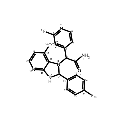 NC(=O)C(c1ccnc(F)c1)N1c2c(C(=O)O)ccnc2NC1c1ccc(F)cc1